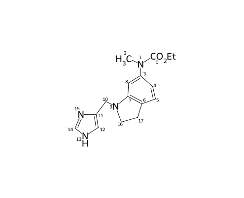 CCOC(=O)N(C)c1ccc2c(c1)N(Cc1c[nH]cn1)CC2